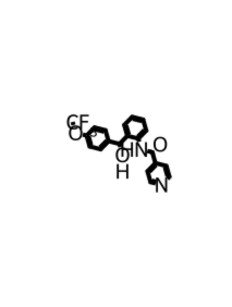 O=C(Nc1ccccc1C(O)c1ccc(OC(F)(F)F)cc1)c1ccncc1